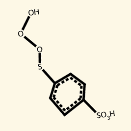 O=S(=O)(O)c1ccc(SOOO)cc1